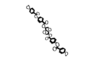 COc1ccc(C(=O)Oc2ccc(C(=O)OC3COC4C(OC(=O)c5ccc(OC(=O)c6ccc(OC)cc6)cc5)COC34)cc2)cc1